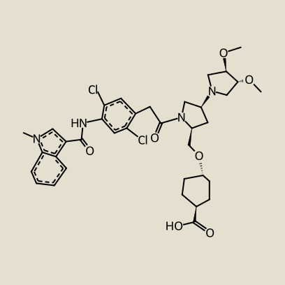 CO[C@@H]1CN([C@H]2C[C@@H](CO[C@H]3CC[C@H](C(=O)O)CC3)N(C(=O)Cc3cc(Cl)c(NC(=O)c4cn(C)c5ccccc45)cc3Cl)C2)C[C@H]1OC